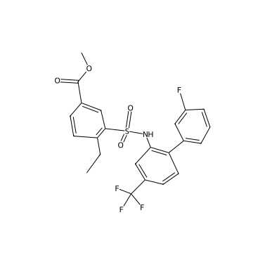 CCc1ccc(C(=O)OC)cc1S(=O)(=O)Nc1cc(C(F)(F)F)ccc1-c1cccc(F)c1